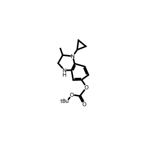 CC1CNc2cc(OC(=O)OC(C)(C)C)ccc2N1C1CC1